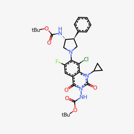 CC(C)(C)OC(=O)N[C@H]1CN(c2c(F)cc3c(=O)n(NC(=O)OC(C)(C)C)c(=O)n(C4CC4)c3c2Cl)C[C@@H]1c1ccccc1